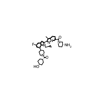 Cc1c(-c2cc3cc(F)cc(C4CCN(C(=O)[C@H]5CC[C@@H](O)CC5)CC4)c3n2CC2CC2)nn2cc(C(=O)N3CCC[C@@H](N)C3)ccc12